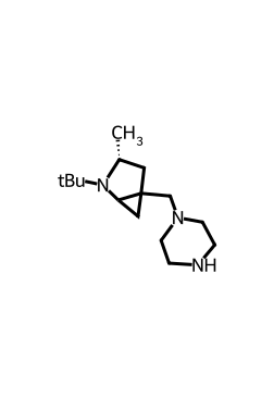 C[C@@H]1CC2(CN3CCNCC3)CC2N1C(C)(C)C